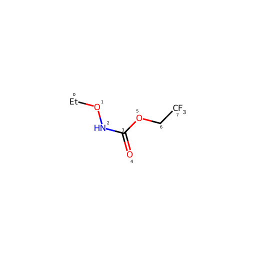 CCONC(=O)OCC(F)(F)F